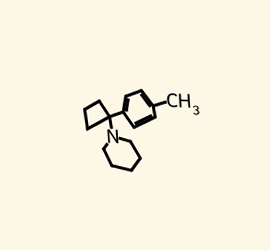 Cc1ccc(C2(N3CCCCC3)CCC2)cc1